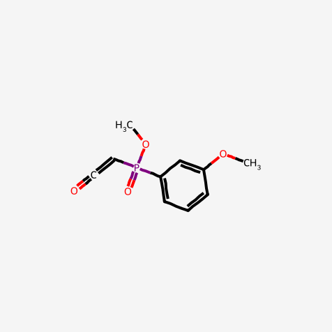 COc1cccc(P(=O)(C=C=O)OC)c1